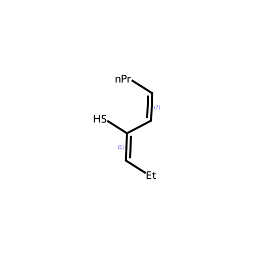 CC/C=C(S)\C=C/CCC